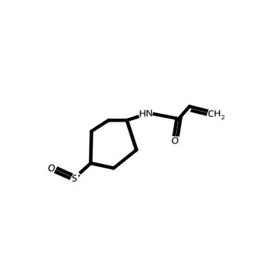 C=CC(=O)NC1CCC([S+]=O)CC1